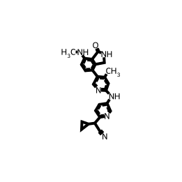 CNc1ccc(-c2cnc(Nc3ccc(C(C#N)C4CC4)nc3)cc2C)c2c1C(=O)NC2